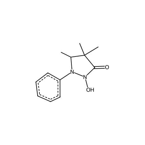 CC1N(c2ccccc2)N(O)C(=O)C1(C)C